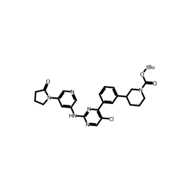 CC(C)(C)OC(=O)N1CCCC(c2cccc(-c3nc(Nc4cncc(N5CCCC5=O)c4)ncc3Cl)c2)C1